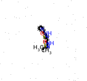 CC(C)c1cnc(NC(=O)Cc2csc(NC(=O)CN3CCCCC3)n2)s1